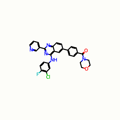 O=C(c1ccc(-c2ccc3nc(-c4cccnc4)nc(Nc4ccc(F)c(Cl)c4)c3c2)cc1)N1CCOCC1